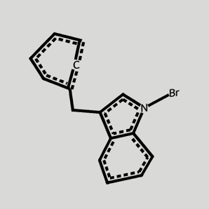 Brn1cc(Cc2ccccc2)c2ccccc21